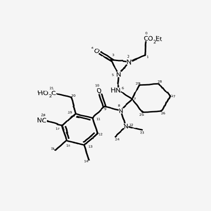 CCOC(=O)CN1C(=O)N1NC1(N(C(=O)c2cc(C)c(C)c(C#N)c2CC(=O)O)N(C)C)CCCCC1